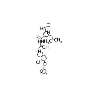 CC(C)Cc1cc(C(=O)NC[C@H](O)CN2CCc3c(ccc(OCc4cnco4)c3Cl)C2)cc(NC2CCC2)n1